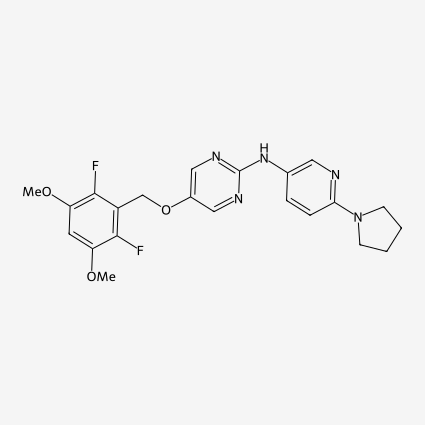 COc1cc(OC)c(F)c(COc2cnc(Nc3ccc(N4CCCC4)nc3)nc2)c1F